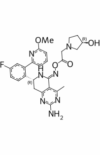 COc1cccc(-c2cc(F)ccc2[C@H]2Cc3nc(N)nc(C)c3C(=NOC(=O)CN3CC[C@@H](O)C3)N2)n1